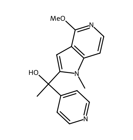 COc1nccc2c1cc(C(C)(O)c1ccncc1)n2C